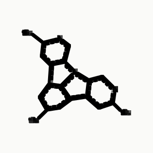 CC(C)(C)c1cc2c3cc(C(C)(C)C)ncc3n3c4cnc(C(C)(C)C)cc4c(c1)c23